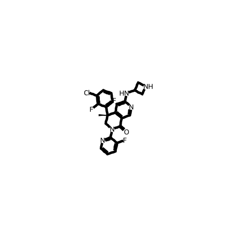 C[C@]1(c2cccc(Cl)c2F)CN(c2ncccc2F)C(=O)c2cnc(NC3CNC3)c(F)c21